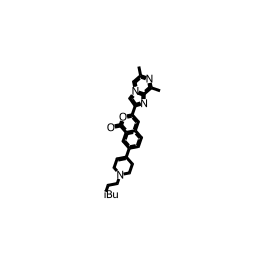 CCC(C)CCN1CC=C(c2ccc3cc(-c4cn5cc(C)nc(C)c5n4)oc(=O)c3c2)CC1